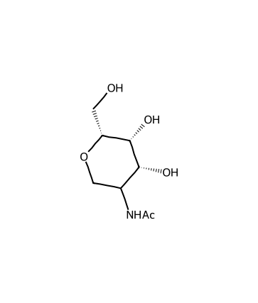 CC(=O)NC1CO[C@H](CO)[C@H](O)[C@@H]1O